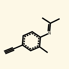 C#Cc1ccc(N=C(C)C)c(C)c1